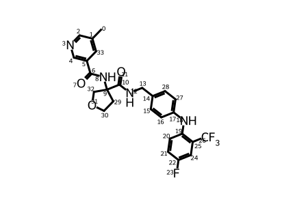 Cc1cncc(C(=O)NC2(C(=O)NCc3ccc(Nc4ccc(F)cc4C(F)(F)F)cc3)CCOC2)c1